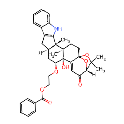 CC1(C)O[C@@]23CC[C@]4(C)[C@@]5(C)c6[nH]c7ccccc7c6C[C@@H]5C[C@H](OCCOC(=O)c5ccccc5)[C@@]4(O)C2=CC(=O)[C@@H]1O3